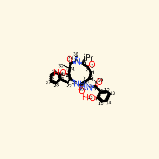 CC(C)C1C(=O)C[C@H](C)[C@H](NC(=O)c2ccccc2O)C(=O)N[C@@H](Cc2ccccc2)[C@@H](O)[C@@H](C)C(=O)N1C